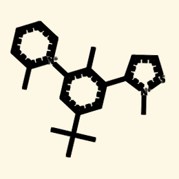 Cc1c(-c2ccs[n+]2C)cc(C(C)(C)C)cc1-[n+]1ccccc1C